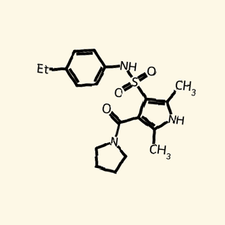 CCc1ccc(NS(=O)(=O)c2c(C)[nH]c(C)c2C(=O)N2CCCC2)cc1